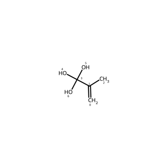 C=C(C)C(O)(O)O